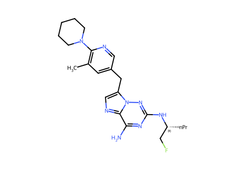 CCC[C@H](CF)Nc1nc(N)c2ncc(Cc3cnc(N4CCCCC4)c(C)c3)n2n1